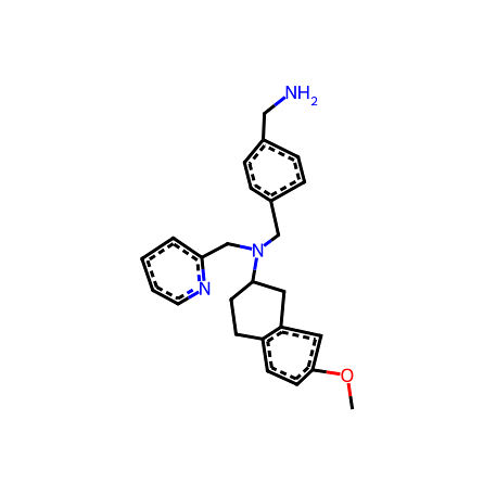 COc1ccc2c(c1)CC(N(Cc1ccc(CN)cc1)Cc1ccccn1)CC2